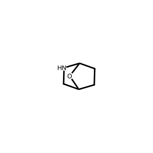 C1CC2NCC1O2